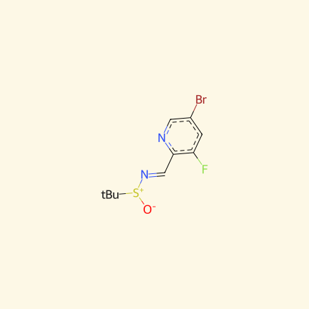 CC(C)(C)[S+]([O-])N=Cc1ncc(Br)cc1F